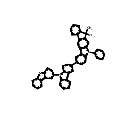 CC1(C)c2ccccc2-c2cc3c4cc(-c5ccc6c(c5)c5ccccc5n6-c5ccc6sc7ccccc7c6c5)ccc4n(-c4ccccc4)c3cc21